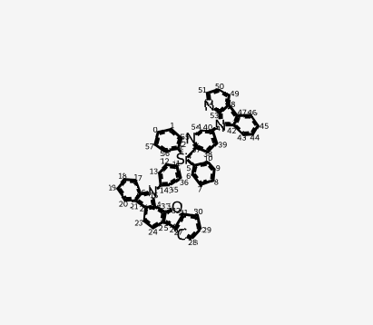 c1ccc([Si](c2ccccc2)(c2ccc(-n3c4ccccc4c4ccc5c6ccccc6oc5c43)cc2)c2ccc(-n3c4ccccc4c4cccnc43)cn2)cc1